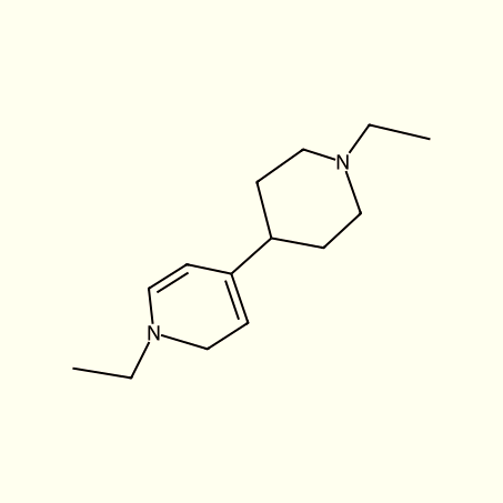 CCN1C=CC(C2CCN(CC)CC2)=CC1